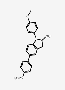 CCOc1ccc(N2c3ccc(-c4ccc(OC(F)(F)F)cc4)cc3CC2C(=O)O)cc1